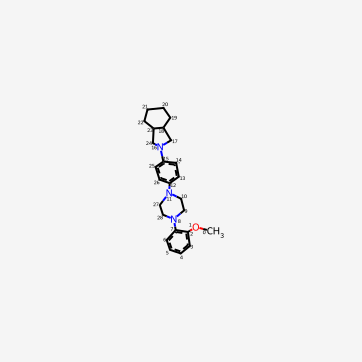 COc1ccccc1N1CCN(c2c[c]c(N3CC4CCCCC4C3)cc2)CC1